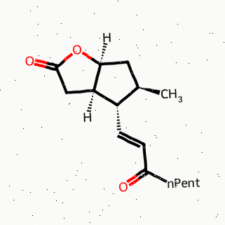 CCCCCC(=O)/C=C/[C@@H]1[C@H]2CC(=O)O[C@H]2C[C@H]1C